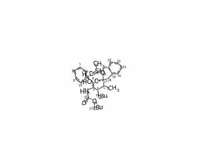 CC(C(C(Cc1ccccc1)NC(=O)OC(C)(C)C)C(C)(C)C)C(Cc1ccccc1)(O[SiH](C)C)C(=O)O